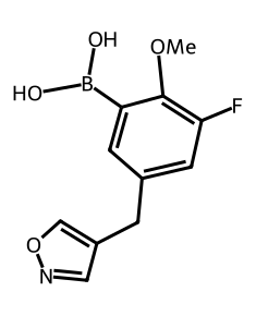 COc1c(F)cc(Cc2cnoc2)cc1B(O)O